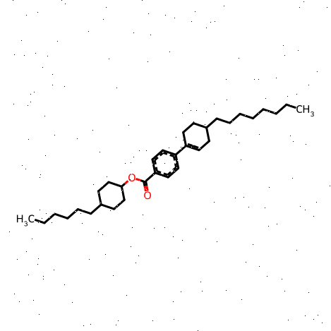 CCCCCCCCC1CC=C(c2ccc(C(=O)OC3CCC(CCCCCC)CC3)cc2)CC1